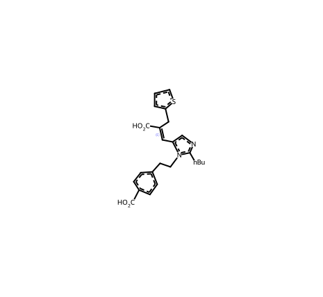 CCCCc1ncc(/C=C(\Cc2cccs2)C(=O)O)n1CCc1ccc(C(=O)O)cc1